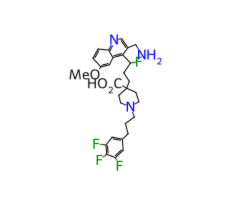 COc1ccc2ncc(CN)c([C@@H](F)CCC3(C(=O)O)CCN(CCCc4cc(F)c(F)c(F)c4)CC3)c2c1